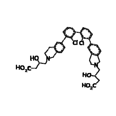 O=C(O)CC(O)CN1CCc2cc(-c3cccc(-c4cccc(-c5ccc6c(c5)CCN(CC(O)CC(=O)O)C6)c4Cl)c3Cl)ccc2C1